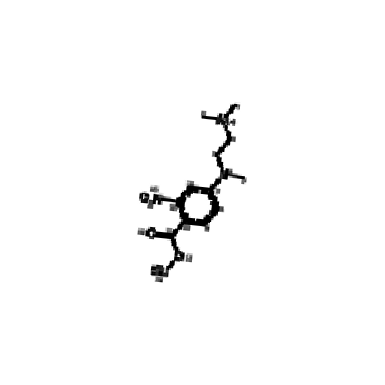 CN(CC[As](C)C)c1ccc(C(=O)OC(C)(C)C)c([N+](=O)[O-])c1